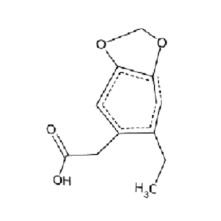 CCc1cc2c(cc1CC(=O)O)OCO2